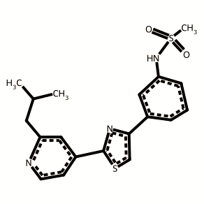 CC(C)Cc1cc(-c2nc(-c3cccc(NS(C)(=O)=O)c3)cs2)ccn1